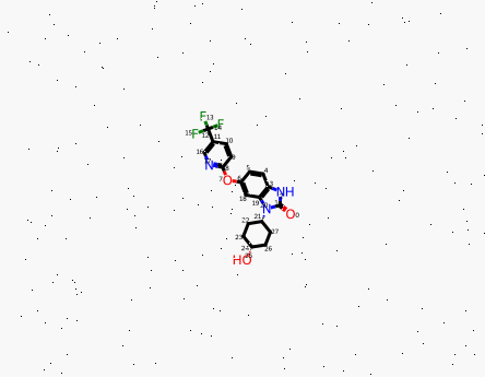 O=c1[nH]c2ccc(Oc3ccc(C(F)(F)F)cn3)cc2n1[C@H]1CC[C@@H](O)CC1